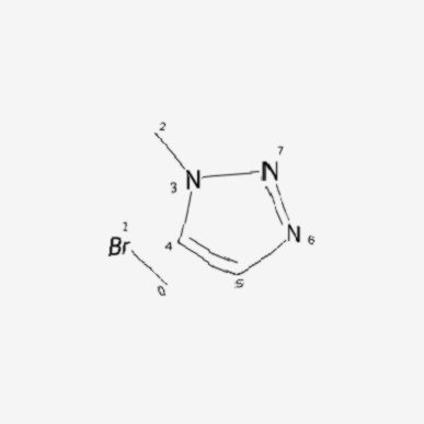 CBr.Cn1ccnn1